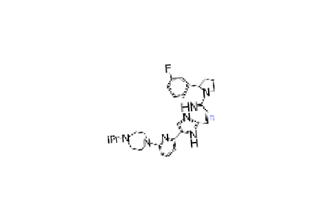 CC(C)N1CCN(c2cccc(-c3cnc(/C=C\C(=N)N4CCCC4c4cccc(F)c4)[nH]3)n2)CC1